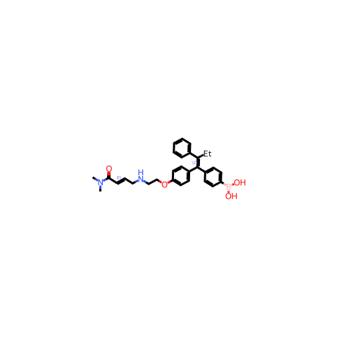 CC/C(=C(/c1ccc(OCCNC/C=C/C(=O)N(C)C)cc1)c1ccc(B(O)O)cc1)c1ccccc1